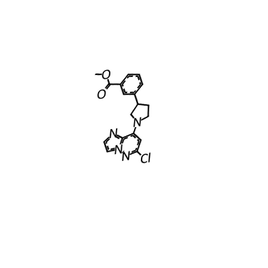 COC(=O)c1cccc(C2CCN(c3cc(Cl)nn4ccnc34)C2)c1